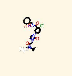 CN(C(=O)Cn1ccn(-c2ccc(Cl)c(C(=O)NCC3(O)CCCCCC3)c2)c1=O)C1CC1